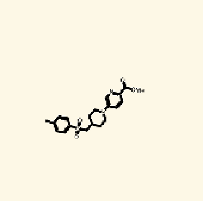 COC(=O)c1ccc(N2CCC(CS(=O)(=O)c3ccc(C)cc3)CC2)cn1